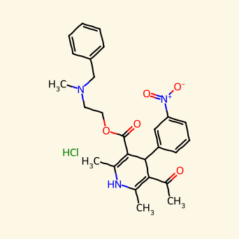 CC(=O)C1=C(C)NC(C)=C(C(=O)OCCN(C)Cc2ccccc2)C1c1cccc([N+](=O)[O-])c1.Cl